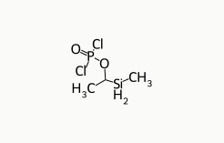 C[SiH2]C(C)OP(=O)(Cl)Cl